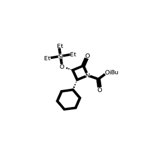 CC[Si](CC)(CC)O[C@@H]1C(=O)N(C(=O)OCC(C)C)[C@@H]1C1CCCCC1